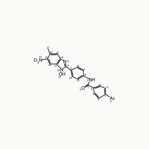 CC(=O)c1ccc(C(=O)Nc2ccc(-c3nc4cc(C)c([N+](=O)[O-])cc4n3O)cc2)cc1